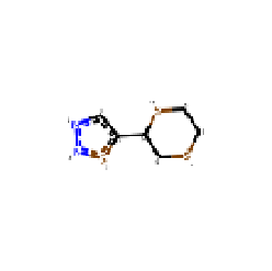 [c]1nnsc1C1CSCCS1